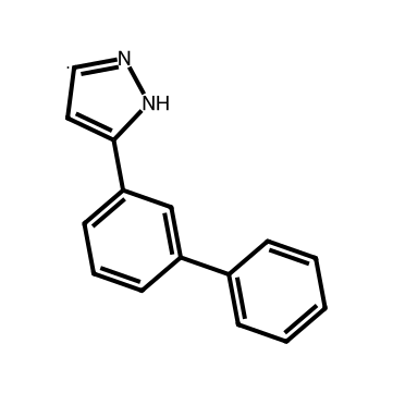 [c]1cc(-c2cccc(-c3ccccc3)c2)[nH]n1